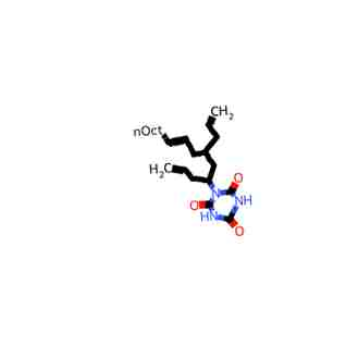 C=CCC(CC=CCCCCCCCC)CC(CC=C)n1c(=O)[nH]c(=O)[nH]c1=O